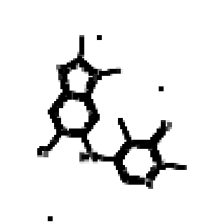 Cc1c(Nc2cc3c(cc2Cl)nc(C)n3C)cnn(C)c1=O